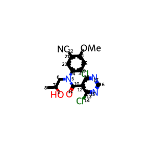 COc1ccc(N(CC(C)O)C(=O)c2c(Cl)ncnc2Cl)cc1C#N